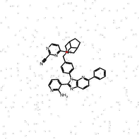 N#Cc1nccc(NC2C3CCC2CN(Cc2ccc(-n4c(-c5cccnc5N)nc5ccc(-c6ccccc6)nc54)cc2)C3)n1